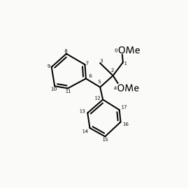 COCC(C)(OC)C(c1ccccc1)c1ccccc1